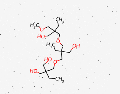 CCC(CO)(CO)COCC(CC)(CO)COCC(CC)(CO)COC